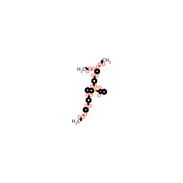 C=CC(=O)OCOc1ccc(OC(=O)C2CCC(C(=O)Oc3c4c(c(OC(=O)C5CCC(C(=O)Oc6ccc(OCOC(=O)C=C)c(OCOC(=O)C=C)c6)CC5)c5ccccc35)SC(C3C(=O)c5ccccc5C3=O)S4)CC2)cc1